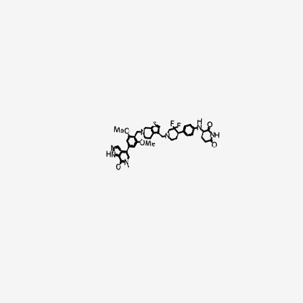 COc1cc(-c2cn(C)c(=O)c3[nH]ncc23)cc(OC)c1CN1CCc2c(CN3CCC(c4ccc(NC5CCC(=O)NC5=O)cc4)C(F)(F)C3)csc2C1